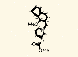 COC(=O)OC1=CCCN(CC2CCc3ccccc3C2OC)C1